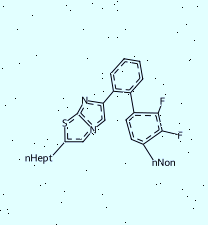 CCCCCCCCCc1ccc(-c2ccccc2-c2cn3cc(CCCCCCC)sc3n2)c(F)c1F